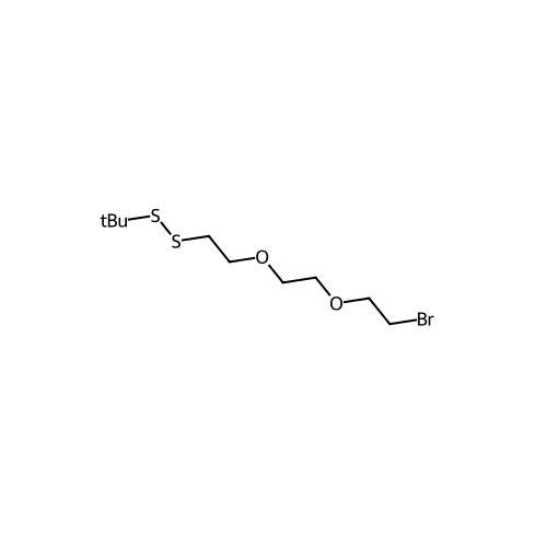 CC(C)(C)SSCCOCCOCCBr